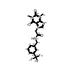 Cn1c(=O)c2c(ncn2CC(=O)NCc2cccc(C(F)(F)F)c2)n(C)c1=O